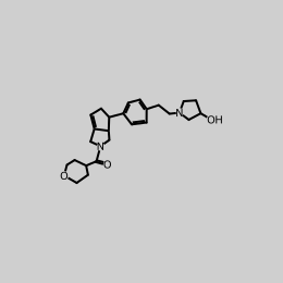 O=C(C1CCOCC1)N1CC2=CCC(c3ccc(CCN4CCC(O)C4)cc3)C2C1